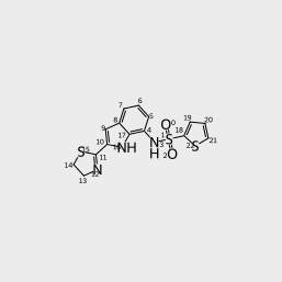 O=S(=O)(Nc1cccc2cc(C3=NCCS3)[nH]c12)c1cccs1